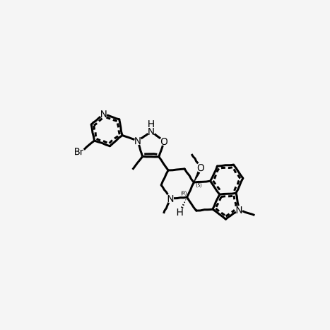 CO[C@]12CC(C3=C(C)N(c4cncc(Br)c4)NO3)CN(C)[C@@H]1Cc1cn(C)c3cccc2c13